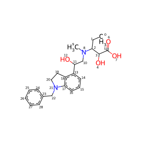 CCC(C(O)C(=O)O)N(C)CC(O)c1cccc2c1CCN2Cc1ccccc1